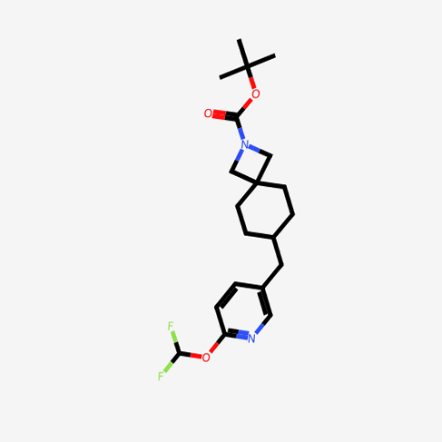 CC(C)(C)OC(=O)N1CC2(CCC(Cc3ccc(OC(F)F)nc3)CC2)C1